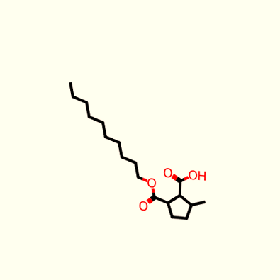 CCCCCCCCCCOC(=O)C1CCC(C)C1C(=O)O